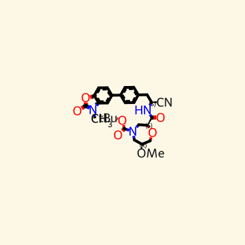 CO[C@H]1CO[C@H](C(=O)N[C@H](C#N)Cc2ccc(-c3ccc4oc(=O)n(C)c4c3)cc2)CN(C(=O)OC(C)(C)C)C1